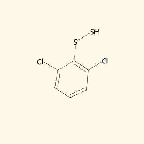 SSc1c(Cl)cccc1Cl